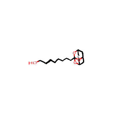 OCCCCCCCCC12OC3CC(CC(C3)O1)O2